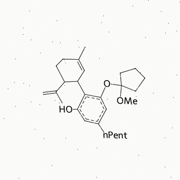 C=C(C)C1CCC(C)=CC1c1c(O)cc(CCCCC)cc1OC1(OC)CCCC1